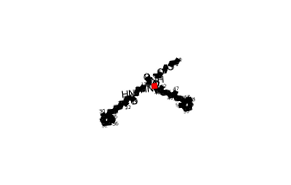 CCCOCCOCCNC(=O)[C@@H](CCCCNC(=O)/C=C(C)/C=C/C=C/C=C1/C(C)=CCCC1(C)C)NC(=O)/C=C(C)/C=C/C=C(C)/C=C/C1=C(C)CCCC1(C)C